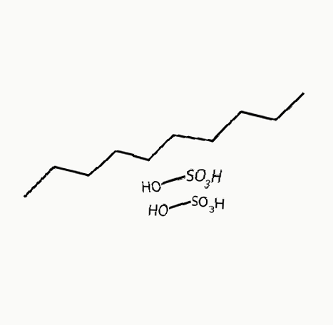 CCCCCCCCCC.O=S(=O)(O)O.O=S(=O)(O)O